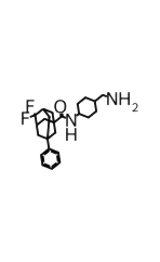 NCC1CCC(NC(=O)C23CC4CC(c5ccccc5)(CC(C2)C4(F)F)C3)CC1